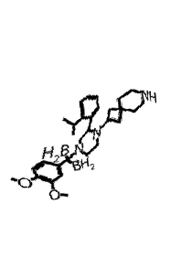 BC(B)(c1ccc(OC)c(OC)c1)N1CCN(C2CC3(CCNCC3)C2)C(c2ccccc2C(C)C)C1